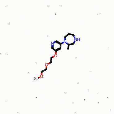 CCOCCOCCOc1cncc(N2CCCNCC2C)c1